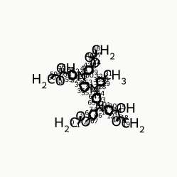 C=CC(=O)Oc1ccc(N(c2ccc(C(O)C(=O)C=C)cc2)c2ccc(N(c3ccc(C)cc3)c3cccc(N(c4ccc(OC(=O)C=C)cc4)c4ccc(C(O)C(=O)C=C)cc4)c3)cc2)cc1